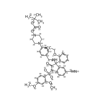 CCOc1ncccc1C1(NCc2ccc(N3CCN(OC(=O)OC(C)(C)C)CC3)cc2)C(=O)N(S(=O)(=O)c2ccc(OC)cc2OC)c2ccc(C#N)cc21